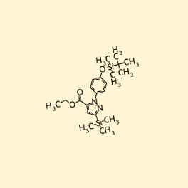 CCOC(=O)c1cc([Si](C)(C)C)nn1-c1ccc(O[Si](C)(C)C(C)(C)C)cc1